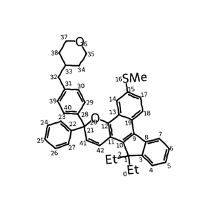 CCC1(CC)c2ccccc2-c2c1c1c(c3cc(SC)ccc23)OC(c2ccccc2)(c2ccc(CC3CCOCC3)cc2)C=C1